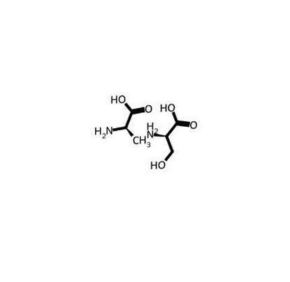 C[C@@H](N)C(=O)O.N[C@H](CO)C(=O)O